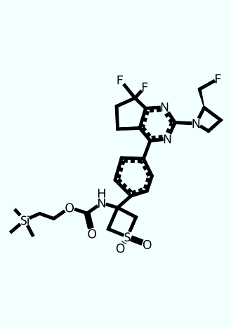 C[Si](C)(C)CCOC(=O)NC1(c2ccc(-c3nc(N4CC[C@@H]4CF)nc4c3CCC4(F)F)cc2)CS(=O)(=O)C1